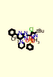 Cn1nc(C(C)(C)C)c(Cl)c1-c1nc2nc(-c3ccccc3C(F)(F)F)cc(N3CCCCC3)c2n1OS(=O)(=O)c1ccccc1